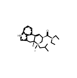 CCN(CC)C(=O)[C@@H]1C=C2c3cccc4[nH]cc(c34)C[C@H]2[N+](C)(CC(C)C)C1.[I-]